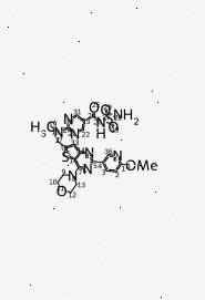 COc1ccc(-c2nc(N3CCOCC3)c3sc(CN(C)c4ncc(C(=O)NS(N)(=O)=O)cn4)cc3n2)cn1